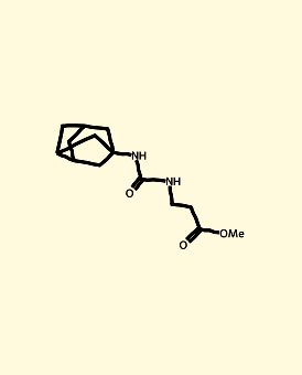 COC(=O)CCNC(=O)NC12CC3CC(C1)C(C3)C2